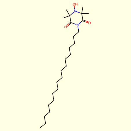 CCCCCCCCCCCCCCCCCCN1C(=O)C(C)(C)N(O)C(C)(C)C1=O